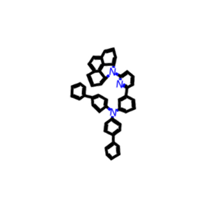 c1ccc(-c2ccc(N(c3ccc(-c4ccccc4)cc3)c3cccc(-c4cccc(-n5c6cccc7ccc8cccc5c8c76)n4)c3)cc2)cc1